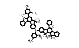 Cc1ccc(N(c2ccc3c(c2)C(C)(C)c2cc(-c4c(C)cc(C)cc4C)c4oc5ccccc5c4c2-3)c2ccc3c(c2)C(C)(C)c2c4c(c5oc6ccccc6c5c2-3)-c2ccccc2C4(C)C)c(C)c1